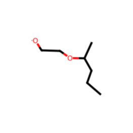 CCCC(C)OCC[O]